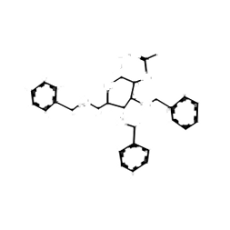 CC(=O)OC1C(OCc2ccccc2)[C@H](OCc2ccccc2)C(COCc2ccccc2)O[C@@H]1F